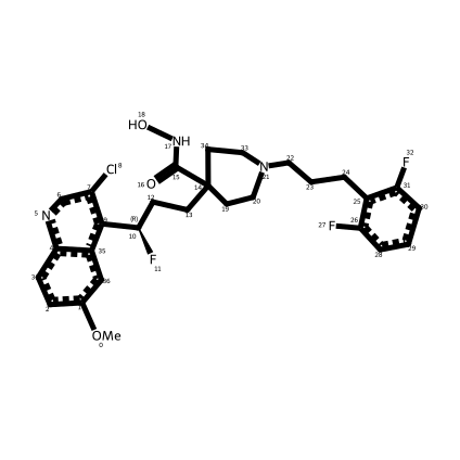 COc1ccc2ncc(Cl)c([C@H](F)CCC3(C(=O)NO)CCN(CCCc4c(F)cccc4F)CC3)c2c1